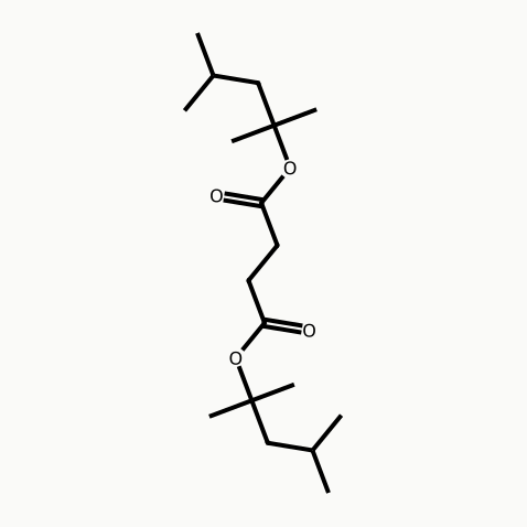 CC(C)CC(C)(C)OC(=O)CCC(=O)OC(C)(C)CC(C)C